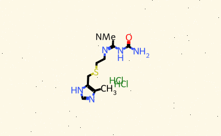 CNC(=NCCSCc1[nH]cnc1C)NC(N)=O.Cl.Cl